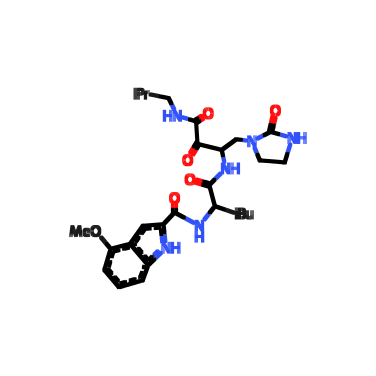 CCC(C)C(NC(=O)c1cc2c(OC)cccc2[nH]1)C(=O)NC(CN1CCNC1=O)C(=O)C(=O)NCC(C)C